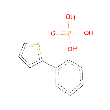 O=P(O)(O)O.c1ccc(-c2cccs2)cc1